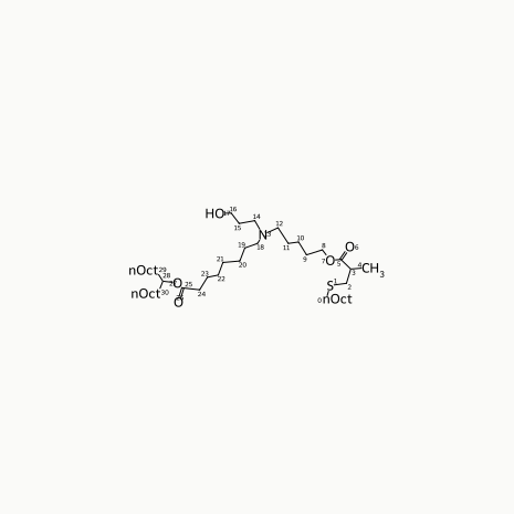 CCCCCCCCSCC(C)C(=O)OCCCCCN(CCCO)CCCCCCCC(=O)OC(CCCCCCCC)CCCCCCCC